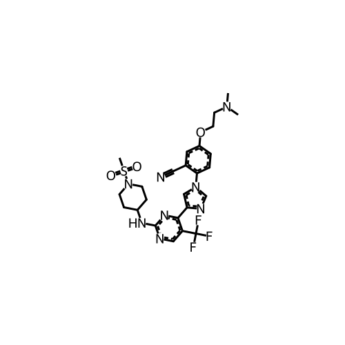 CN(C)CCOc1ccc(-n2cnc(-c3nc(NC4CCN(S(C)(=O)=O)CC4)ncc3C(F)(F)F)c2)c(C#N)c1